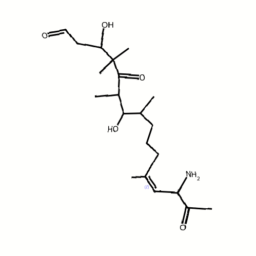 CC(=O)C(N)/C=C(/C)CCCC(C)C(O)C(C)C(=O)C(C)(C)C(O)CC=O